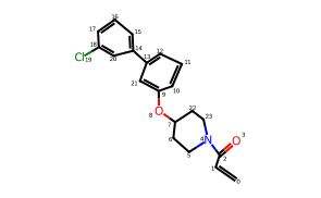 C=CC(=O)N1CCC(Oc2cccc(-c3cccc(Cl)c3)c2)CC1